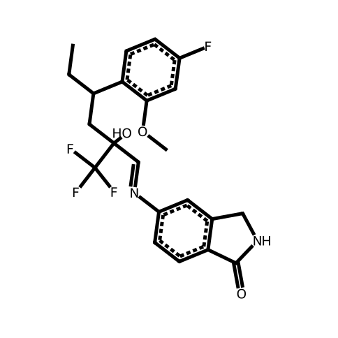 CCC(CC(O)(C=Nc1ccc2c(c1)CNC2=O)C(F)(F)F)c1ccc(F)cc1OC